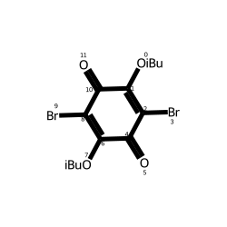 CC(C)COC1=C(Br)C(=O)C(OCC(C)C)=C(Br)C1=O